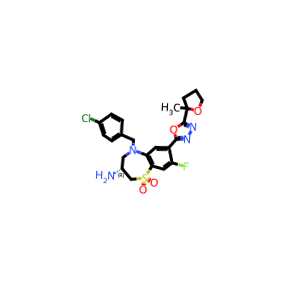 CC1(c2nnc(-c3cc4c(cc3F)S(=O)(=O)C[C@H](N)CN4Cc3ccc(Cl)cc3)o2)CCCO1